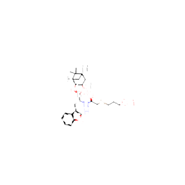 CC1(C)[C@@H]2C[C@H]3OB([C@H](Cc4coc5ccccc45)NC(=O)CSCCCO)O[C@@]3(C)[C@H]1C2